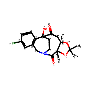 CC1(C)O[C@@H]2C(=O)N3CCC(O)(C(=O)C[C@H]2O1)c1ccc(F)cc1C3